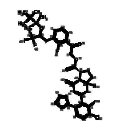 CC(C)(C)[Si](C)(C)OC(Cc1nccc(C(=O)COC(=O)[C@@H]2CC[C@@H]3CC(c4c(-n5cnnn5)ccc(Cl)c4F)=CC(=O)N32)c1F)C(F)(F)F